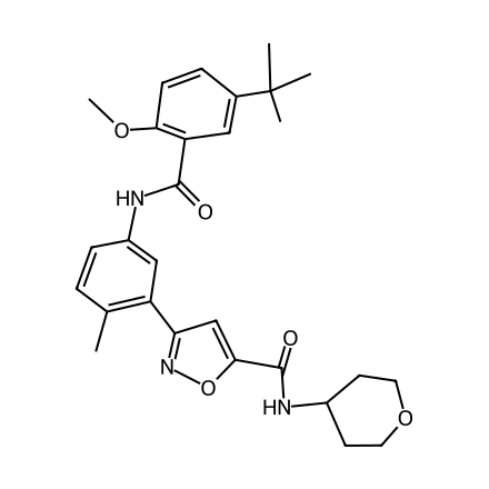 COc1ccc(C(C)(C)C)cc1C(=O)Nc1ccc(C)c(-c2cc(C(=O)NC3CCOCC3)on2)c1